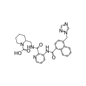 O=C(NCC1CCCCN1C(=O)O)c1ncccc1NC(=O)c1ccc(Cn2cncn2)c2ccccc12